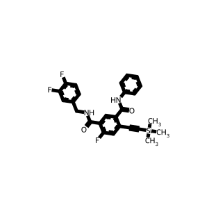 C[Si](C)(C)C#Cc1cc(F)c(C(=O)NCc2ccc(F)c(F)c2)cc1C(=O)Nc1ccccc1